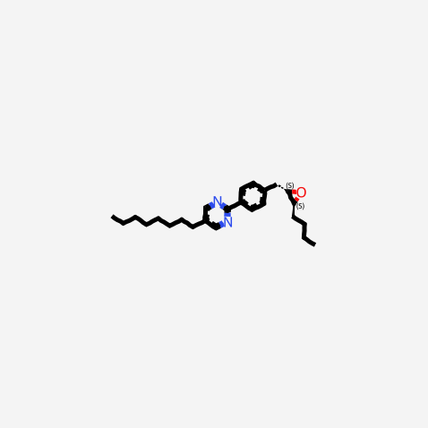 CCCCCCCCc1cnc(-c2ccc(C[C@@H]3O[C@H]3CCCC)cc2)nc1